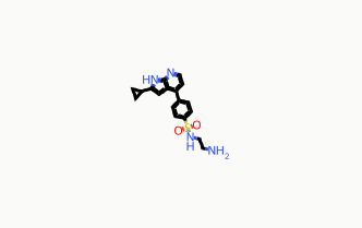 NCCNS(=O)(=O)c1ccc(-c2ccnc3[nH]c(C4CC4)cc23)cc1